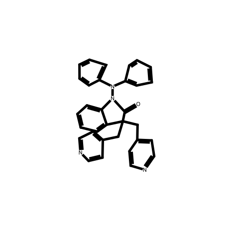 O=C1N(N(c2ccccc2)c2ccccc2)c2ccccc2C1(Cc1ccncc1)Cc1ccncc1